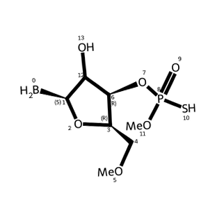 B[C@@H]1O[C@H](COC)[C@H](OP(=O)(S)OC)C1O